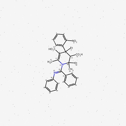 CCC1(c2ccccc2[N+](=O)[O-])C(C(=O)O)=C(C)N(C(=Nc2ccccc2)c2ccccc2)C(C)(CC)C1C(=O)O